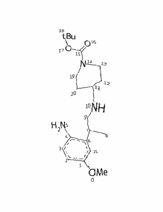 COc1ccc(N)c(C(C)CNC2CCN(C(=O)OC(C)(C)C)CC2)c1